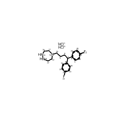 Cl.Cl.Fc1ccc(C(CCCN2CCNNCC2)c2ccc(F)cc2)cc1